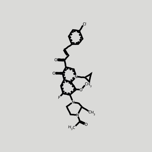 COc1c(N2CCN(C(C)=O)C(C)C2)c(F)cc2c(=O)c(C(=O)C=Cc3ccc(Cl)cc3)cn(C3CC3)c12